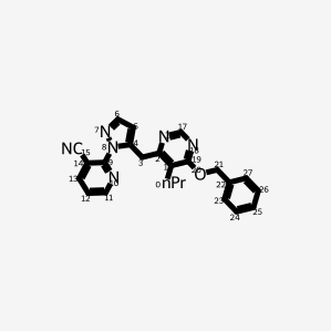 CCCc1c(Cc2ccnn2-c2ncccc2C#N)ncnc1OCc1ccccc1